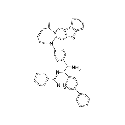 C=C1/C=C\C=C/N(c2ccc([C@H](N)C(/N=C(\N)c3ccccc3)c3ccc(-c4ccccc4)cc3)cc2)c2cc3sc4ccccc4c3cc21